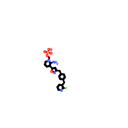 Nc1c(-c2cc(Cc3ccc(Cc4cccnc4F)cc3)no2)ccc[n+]1COP(=O)([O-])O